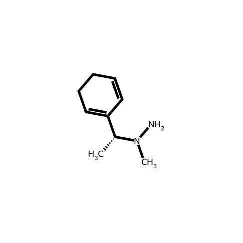 C[C@H](C1=CCCC=C1)N(C)N